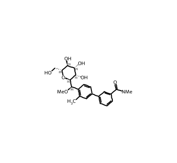 CNC(=O)c1cccc(-c2ccc([C@@H](OC)[C@H]3O[C@H](CO)[C@@H](O)[C@H](O)[C@@H]3O)c(C)c2)c1